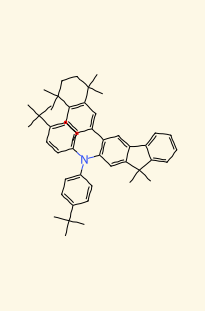 Cc1cc2c(cc1-c1cc3c(cc1N(c1ccc(C(C)(C)C)cc1)c1ccc(C(C)(C)C)cc1)C(C)(C)c1ccccc1-3)C(C)(C)CCC2(C)C